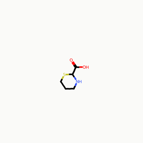 O=C(O)C1NCCCS1